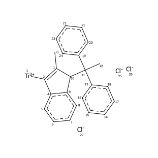 CC1=[C]([Ti+3])c2ccccc2C1C(C)(c1ccccc1)c1ccccc1.[Cl-].[Cl-].[Cl-]